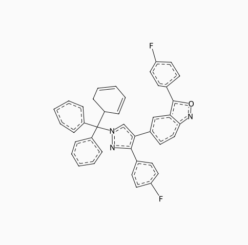 Fc1ccc(-c2nn(C(c3ccccc3)(c3ccccc3)C3C=CC=CC3)cc2-c2ccc3noc(-c4ccc(F)cc4)c3c2)cc1